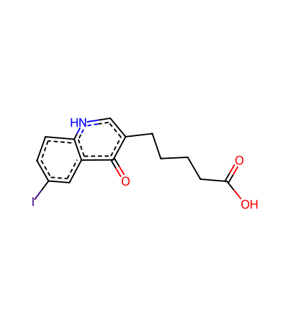 O=C(O)CCCCc1c[nH]c2ccc(I)cc2c1=O